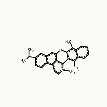 Cc1c2c(c(C)c3ccccc13)-c1c3c(cc4cc(C(C)C)ccc4c3cc[n+]1C)O2